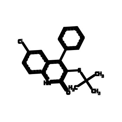 CC(C)(C)Sc1c(-c2ccccc2)c2cc(Cl)ccc2[nH]c1=O